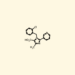 Cc1nc(-c2cccnc2)n(Cc2ccccc2Cl)c1C(=O)O